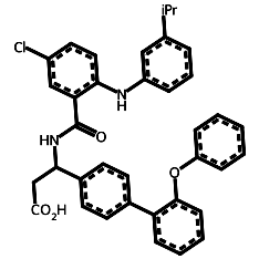 CC(C)c1cccc(Nc2ccc(Cl)cc2C(=O)NC(CC(=O)O)c2ccc(-c3ccccc3Oc3ccccc3)cc2)c1